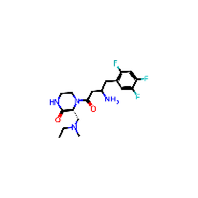 CCN(C)C[C@@H]1C(=O)NCCN1C(=O)CC(N)Cc1cc(F)c(F)cc1F